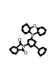 O=C1c2ccccc2C(=O)N1c1cc(-c2ccccc2)cc(N2c3ccccc3Oc3ccccc32)c1